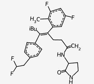 C=C(CC/C(=C(\c1ccc(CC(F)F)cc1)C(C)CC)c1cc(F)cc(F)c1C)NC1CCNC1=O